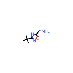 CC(C)(C)c1noc(CN)n1